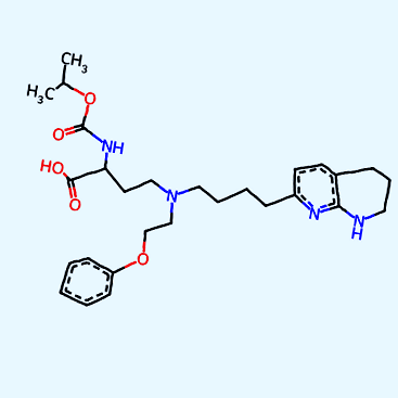 CC(C)OC(=O)NC(CCN(CCCCc1ccc2c(n1)NCCC2)CCOc1ccccc1)C(=O)O